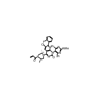 C=CC(=O)N1C[C@H](C)N(c2nc(=O)n(-c3c(C(C)C)nc(NC)nc3C(C)C)c3nc(-c4ccccc4F)c(Cl)cc23)C[C@H]1C